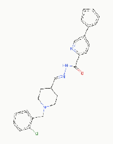 O=C(NN=CC1CCN(Cc2ccccc2Cl)CC1)c1ccc(-c2ccccc2)cn1